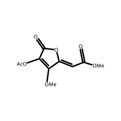 COC(=O)/C=C1\OC(=O)C(OC(C)=O)=C1OC